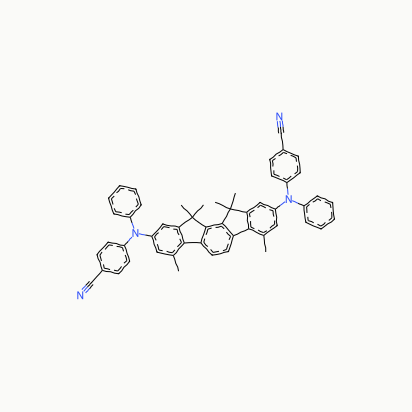 Cc1cc(N(c2ccccc2)c2ccc(C#N)cc2)cc2c1-c1ccc3c(c1C2(C)C)C(C)(C)c1cc(N(c2ccccc2)c2ccc(C#N)cc2)cc(C)c1-3